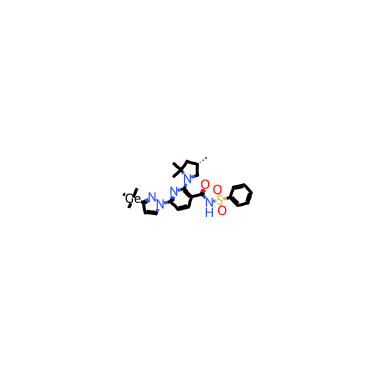 C[C@@H]1CN(c2nc(-n3cc[c]([Ge]([CH3])([CH3])[CH3])n3)ccc2C(=O)NS(=O)(=O)c2ccccc2)C(C)(C)C1